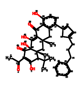 CC(=O)C1=C(O)C(C(C)C)[C@@]2(C)C[C@@]3(C)Cc4c(C5=CC=C(CCCc6ccccc6)C5)ccc(O)c4C(=O)C3=C(O)[C@@]2(O)C1=O